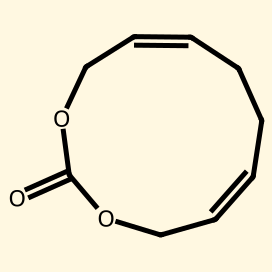 O=C1OCC=CCCC=CCO1